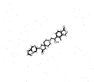 Cc1c(C(O)CN2CCC3(CC2)CC(=O)N(c2cn4ncnc4cn2)C3)ccc2c1COC2=O